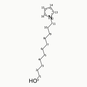 OCCCCCCCCCCCn1cccc1